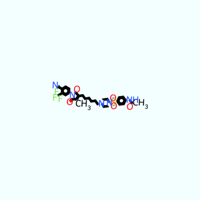 CC(=O)Nc1ccc(S(=O)(=O)N2CCN(CCCCCCC3=C(C)C(=O)N(c4ccc(C#N)c(C(F)(F)F)c4)C3=O)CC2)cc1